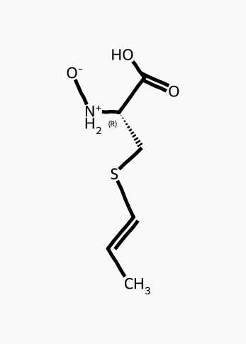 CC=CSC[C@H]([NH2+][O-])C(=O)O